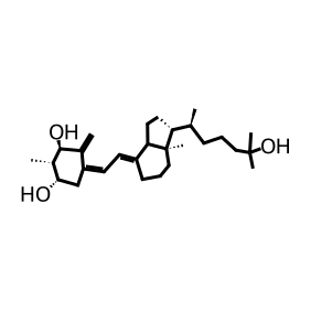 C=C1/C(=C\C=C2CCC[C@@]3(C)C2CC[C@@H]3[C@@H](C)CCCC(C)(C)O)C[C@H](O)[C@H](C)[C@H]1O